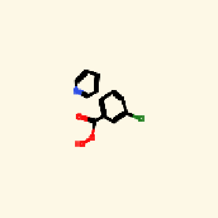 O=C(OO)c1cccc(Cl)c1.c1ccncc1